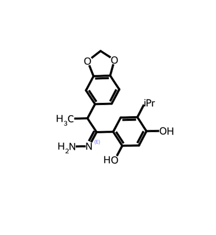 CC(C)c1cc(/C(=N/N)C(C)c2ccc3c(c2)OCO3)c(O)cc1O